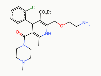 CCOC(=O)C1=C(COCCN)NC(C)=C(C(=O)N2CCN(C)CC2)C1c1ccccc1Cl